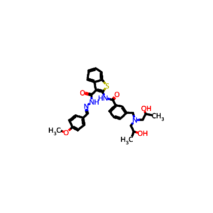 COc1ccc(/C=N/NC(=O)c2c(NC(=O)c3cccc(CN(CC(C)O)CC(C)O)c3)sc3ccccc23)cc1